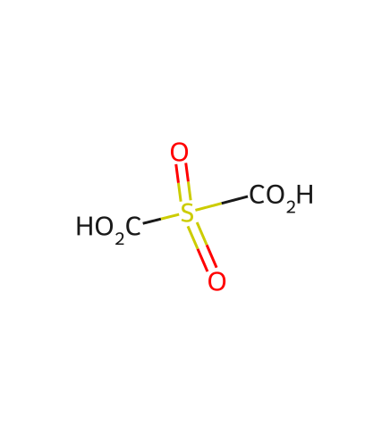 O=C(O)S(=O)(=O)C(=O)O